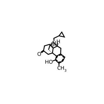 Cc1ccc2c(c1O)[C@]13CCN(CC4CC4)[C@H](C2)[C@]1(O)CCC(=O)C3